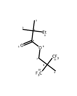 CCC(C)(C)C(=O)OCC(C)(C(F)(F)F)C(F)(F)F